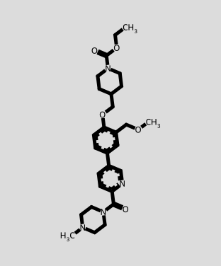 CCOC(=O)N1CCC(COc2ccc(-c3ccc(C(=O)N4CCN(C)CC4)nc3)cc2COC)CC1